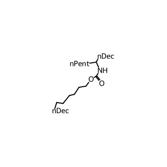 [CH2]CCCCCCCCCC(CCCCC)NC(=O)OCCCCCCCCCCCCCCCC